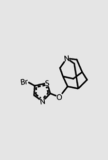 Brc1cnc(OC2C3CC4CC2CN(C4)C3)s1